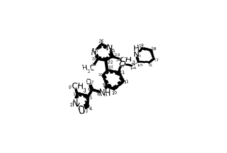 Cc1nocc1C(=O)Nc1ccc(OC[C@H]2CCCCN2)c(-c2c(C)ncnc2C)c1